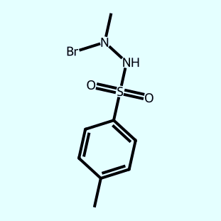 Cc1ccc(S(=O)(=O)NN(C)Br)cc1